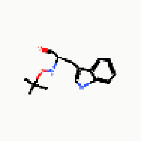 CC(C)(C)ONC(C=O)Cc1c[nH]c2ccccc12